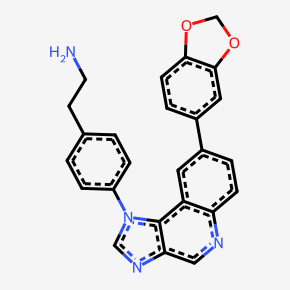 NCCc1ccc(-n2cnc3cnc4ccc(-c5ccc6c(c5)OCO6)cc4c32)cc1